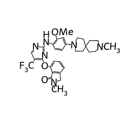 COc1cc(N2CCC3(CCN(C)CC3)CC2)ccc1Nc1ncc(C(F)(F)F)c(Oc2cccc3c2C(=O)N(C)C3)n1